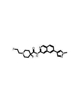 Cn1cc(-c2ccc3cnc(NC(=O)C4(F)CCN(CCF)CC4)cc3c2)cn1